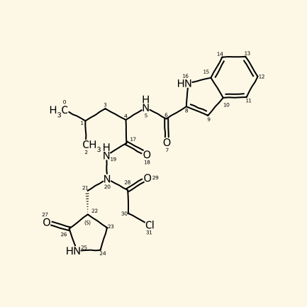 CC(C)CC(NC(=O)c1cc2ccccc2[nH]1)C(=O)NN(C[C@@H]1CCNC1=O)C(=O)CCl